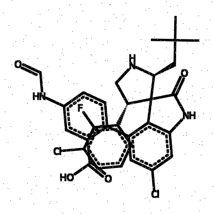 CC(C)(C)C[C@@H]1NC[C@@H](c2cccc(Cl)c2F)C12C(=O)Nc1cc(Cl)cc(-c3ccc(NC=O)cc3C(=O)O)c12